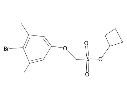 Cc1cc(OCS(=O)(=O)OC2CCC2)cc(C)c1Br